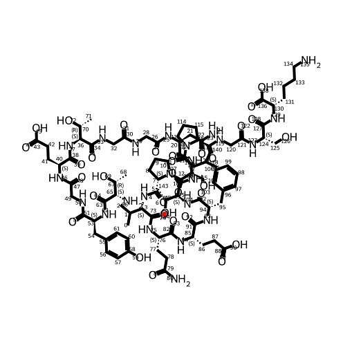 CC(C)[C@H](NC(=O)[C@@H]1CCCN1C(=O)[C@H](CO)NC(=O)[C@H](CC(N)=O)NC(=O)CNC(=O)CNC(=O)[C@@H](NC(=O)[C@H](CCC(=O)O)NC(=O)CNC(=O)[C@H](Cc1ccc(O)cc1)NC(=O)[C@@H](N)[C@@H](C)O)[C@@H](C)O)C(=O)N[C@@H](CCC(N)=O)C(=O)N[C@@H](CCC(=O)O)C(=O)N[C@@H](Cc1ccccc1)C(=O)N[C@H](C(=O)N[C@H](C(=O)N1CCC[C@H]1C(=O)NCC(=O)N[C@@H](CO)C(=O)N[C@@H](CCCCN)C(=O)O)C(C)C)[C@@H](C)O